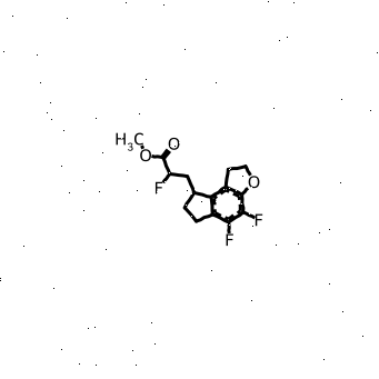 COC(=O)C(F)CC1CCc2c(F)c(F)c3c(c21)CCO3